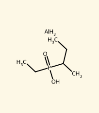 CCC(C)P(=O)(O)CC.[AlH3]